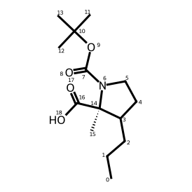 CCCC1CCN(C(=O)OC(C)(C)C)[C@]1(C)C(=O)O